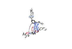 CC(=O)c1nn2c3c(cc(-c4cnc(C)nc4)cc13)CCCCCC(=O)N(C)C[C@@]13C[C@@H](C(=O)Nc4nc(C(F)(F)F)ccc4C)N(C(=O)C2)[C@@H]1C3